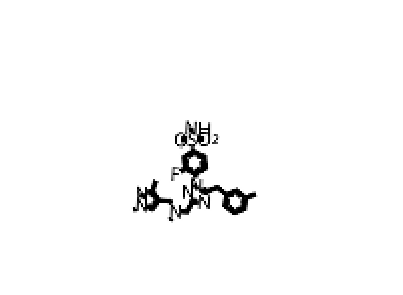 Cc1cccc(Cc2nc(CN(C)Cc3cn(C)nc3C)nn2-c2ccc(S(N)(=O)=O)cc2F)c1